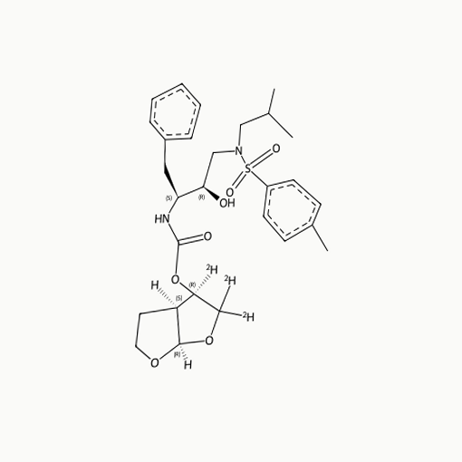 [2H]C1([2H])O[C@H]2OCC[C@H]2[C@@]1([2H])OC(=O)N[C@@H](Cc1ccccc1)[C@H](O)CN(CC(C)C)S(=O)(=O)c1ccc(C)cc1